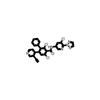 C#Cc1cnccc1-c1cc(Cl)c(C(=O)Nc2cnc(-n3nccn3)c(Cl)c2)c(Cl)c1-c1ccccc1